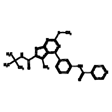 CSc1nc(-c2cccc(NC(=O)c3ccncc3)c2)c2c(N)c(C(=O)NC(C)(C)C)sc2n1